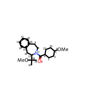 COC1CCC(C(=O)N2CCc3ccccc3CC2C(C)(C)OC)CC1